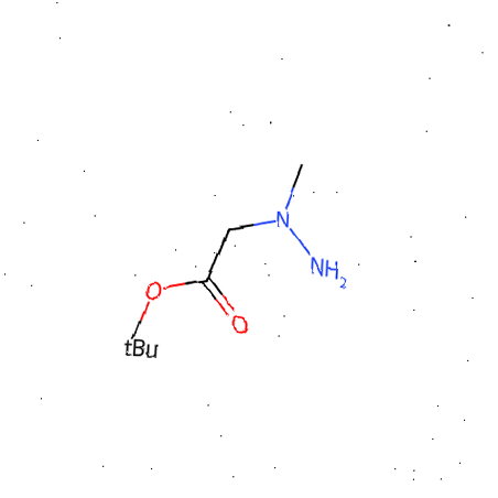 CN(N)CC(=O)OC(C)(C)C